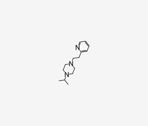 CC(C)N1CCN(CCc2ccccn2)CC1